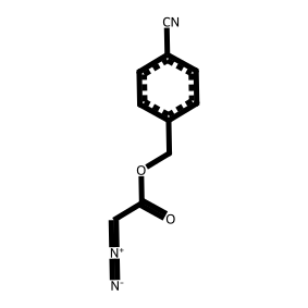 N#Cc1ccc(COC(=O)C=[N+]=[N-])cc1